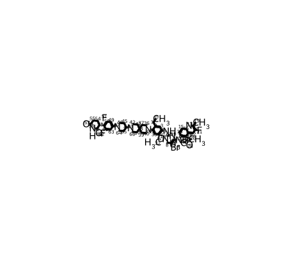 CCc1cc(Nc2ncc(Br)c(Nc3ccc4nc(C)c(F)cc4c3P(C)(C)=O)n2)c(OC)cc1N1CCC2(CC1)CCN(C1CCN(c3cc(F)c([C@H]4CCC(=O)NC4=O)c(F)c3)CC1)CC2